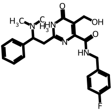 CN(C)C(Cc1nc(C(=O)NCc2ccc(F)cc2)c(CO)c(=O)[nH]1)c1ccccc1